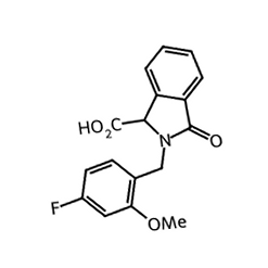 COc1cc(F)ccc1CN1C(=O)c2ccccc2C1C(=O)O